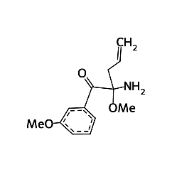 C=CCC(N)(OC)C(=O)c1cccc(OC)c1